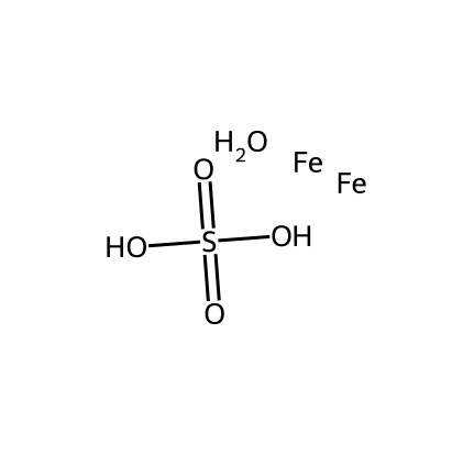 O.O=S(=O)(O)O.[Fe].[Fe]